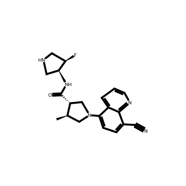 C[C@@H]1CN(c2ccc(C#N)c3ncccc23)C[C@H]1C(=O)N[C@H]1CNC[C@H]1F